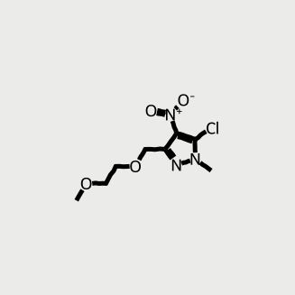 COCCOCc1nn(C)c(Cl)c1[N+](=O)[O-]